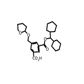 O=C(O)c1cc(COC2CCCCO2)cc(C(=O)OC(C2CCCCC2)C2CCCCC2)c1